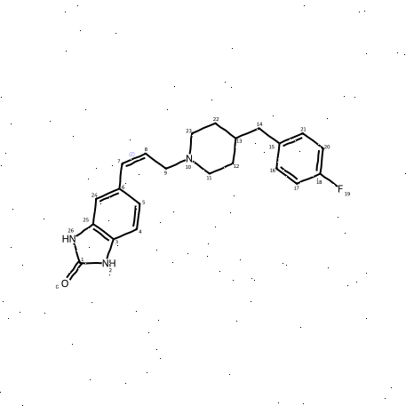 O=c1[nH]c2ccc(/C=C\CN3CCC(Cc4ccc(F)cc4)CC3)cc2[nH]1